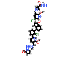 CNC(=O)C1CN(Cc2cc(Cl)c(O[C@H]3CCc4c(-c5cccc(-c6ccc(CNC[C@@H]7CCC(=O)N7)c(OC)n6)c5Cl)cccc43)nc2OC)C1